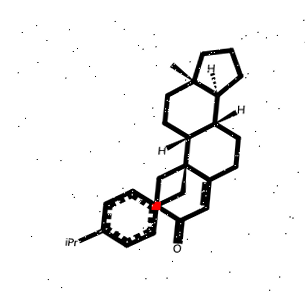 CC(C)c1ccc(C[C@]23CCC(=O)C=C2CC[C@@H]2[C@H]3CC[C@]3(C)CCC[C@@H]23)cc1